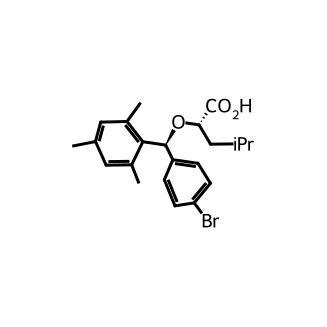 Cc1cc(C)c([C@@H](O[C@@H](CC(C)C)C(=O)O)c2ccc(Br)cc2)c(C)c1